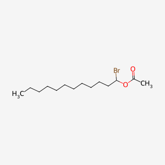 CCCCCCCCCCCC(Br)OC(C)=O